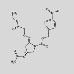 CCOC(=O)CON=C1C[C@H](SC(C)=O)CN1C(=O)OCc1ccc([N+](=O)[O-])cc1